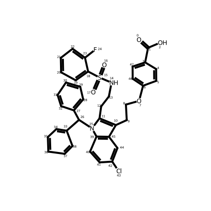 O=C(O)c1ccc(OCCc2c(CCNS(=O)(=O)c3ccccc3F)n(C(c3ccccc3)c3ccccc3)c3ccc(Cl)cc23)cc1